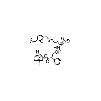 CN/C(=C/[N+](=O)[O-])NCCSCc1ccc(CN(C)C)o1.CN1[C@@H]2CC[C@H]1C[C@@H](OC(=O)C(CO)c1ccccc1)C2